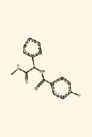 CNC(=O)C(NC(=O)c1ccc(F)cc1)c1ccccc1